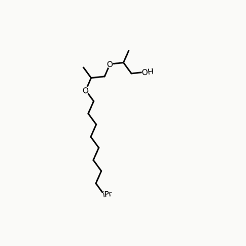 CC(C)CCCCCCCCOC(C)COC(C)CO